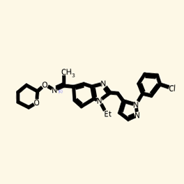 CCn1c(Cc2ccnn2-c2cccc(Cl)c2)nc2cc(/C(C)=N/OC3CCCCO3)ccc21